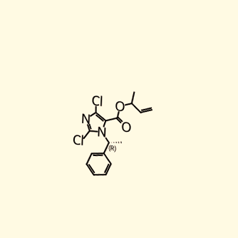 C=CC(C)OC(=O)c1c(Cl)nc(Cl)n1[C@H](C)c1ccccc1